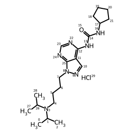 CC(C)N(CCCCn1ncc2c(NC(=O)NC3CCCC3)ncnc21)C(C)C.Cl